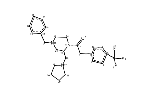 O=C(Cc1ccc(C(F)(F)F)cc1)N1CCN(Cc2ccccc2)CC1CN1CCCC1